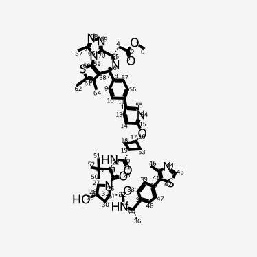 COC(=O)C[C@@H]1N=C(c2ccc(-c3ccc(O[C@H]4C[C@@H](C(=O)N[C@H](C(=O)N5C[C@H](O)C[C@H]5C(=O)N[C@@H](C)c5ccc(-c6scnc6C)cc5)C(C)(C)C)C4)nc3)cc2)c2c(sc(C)c2C)-n2c(C)nnc21